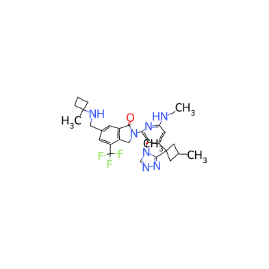 CCNc1cc(C2(c3nncn3C)CC(C)C2)cc(N2Cc3c(cc(CNC4(C)CCC4)cc3C(F)(F)F)C2=O)n1